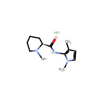 CCCN1CCCC[C@H]1C(=O)Nc1c(C)ccn1C.Cl